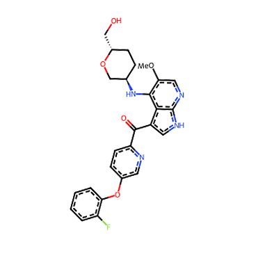 COc1cnc2[nH]cc(C(=O)c3ccc(Oc4ccccc4F)cn3)c2c1N[C@@H]1CC[C@@H](CO)OC1